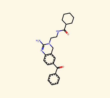 NC1=Nc2ccc(C(=O)c3ccccc3)cc2CN1CCNC(=O)C1CCCCC1